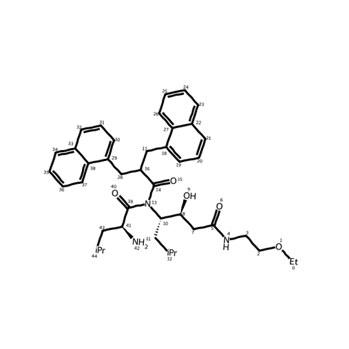 CCOCCNC(=O)C[C@H](O)[C@H](CC(C)C)N(C(=O)C(Cc1cccc2ccccc12)Cc1cccc2ccccc12)C(=O)[C@@H](N)CC(C)C